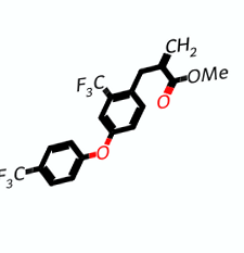 C=C(Cc1ccc(Oc2ccc(C(F)(F)F)cc2)cc1C(F)(F)F)C(=O)OC